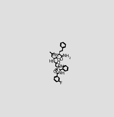 CC(C)C[C@H](NC(=O)CP(=O)(O)C(NC(=O)c1cccc(F)c1)c1ccccc1)C(=O)N[C@@H](CCc1ccccc1)C(N)=O